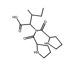 CCC(C)C(C(=O)O)N(C(=O)C1CCCN1)C(=O)C1CCCN1